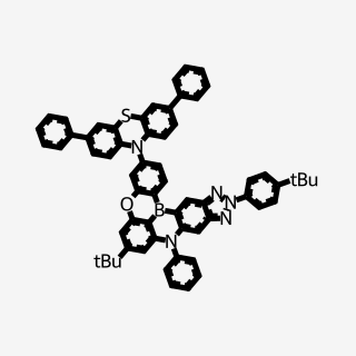 CC(C)(C)c1ccc(-n2nc3cc4c(cc3n2)N(c2ccccc2)c2cc(C(C)(C)C)cc3c2B4c2ccc(N4c5ccc(-c6ccccc6)cc5Sc5cc(-c6ccccc6)ccc54)cc2O3)cc1